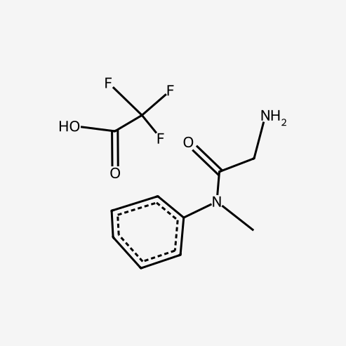 CN(C(=O)CN)c1ccccc1.O=C(O)C(F)(F)F